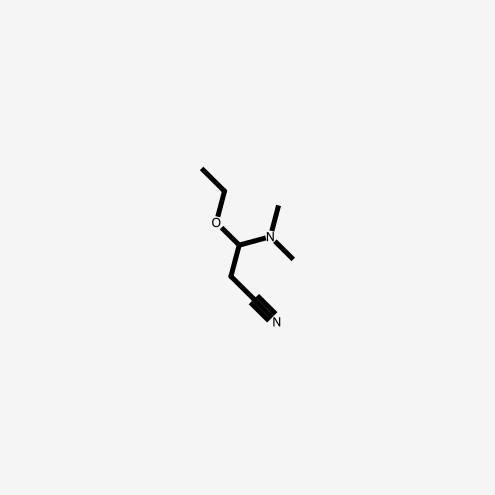 CCOC(CC#N)N(C)C